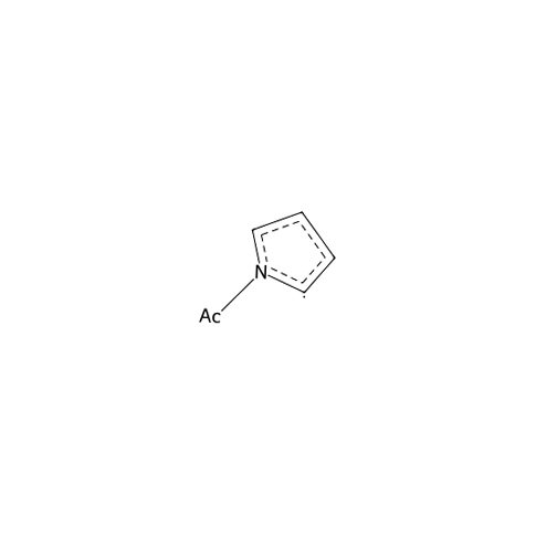 CC(=O)n1[c]ccc1